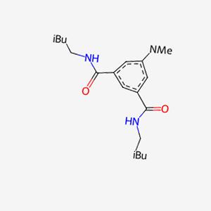 CCC(C)CNC(=O)c1cc(NC)cc(C(=O)NCC(C)CC)c1